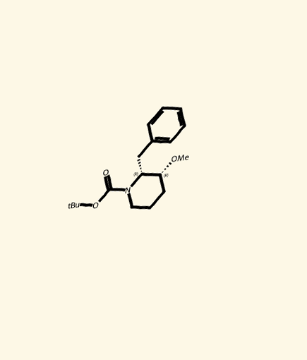 CO[C@@H]1CCCN(C(=O)OC(C)(C)C)[C@@H]1Cc1ccccc1